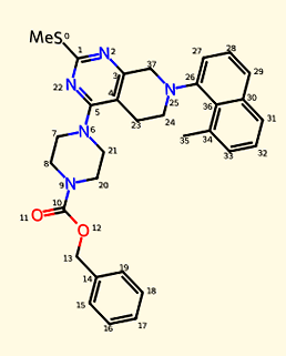 CSc1nc2c(c(N3CCN(C(=O)OCc4ccccc4)CC3)n1)CCN(c1cccc3cccc(C)c13)C2